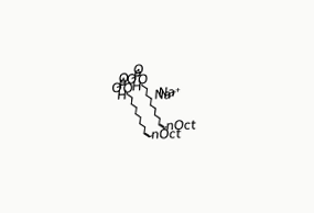 CCCCCCCC/C=C\CCCCCCCCO[PH](=O)[O-].CCCCCCCC/C=C\CCCCCCCCO[PH](=O)[O-].[Na+].[Na+]